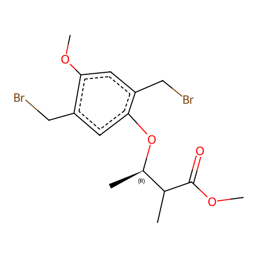 COC(=O)C(C)[C@@H](C)Oc1cc(CBr)c(OC)cc1CBr